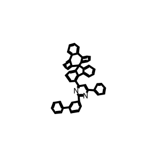 c1ccc(-c2cccc(-c3nc(-c4ccccc4)cc(-c4cccc5c4-c4ccccc4C54c5ccccc5-c5ccccc5-c5ccccc54)n3)c2)cc1